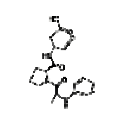 CC(Nc1ccccc1)C(=O)N1CCC[C@H]1C(=O)NC(C=O)CC(=O)O